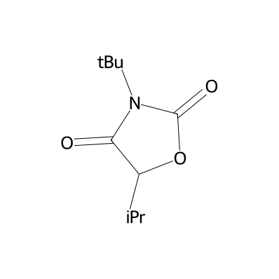 CC(C)C1OC(=O)N(C(C)(C)C)C1=O